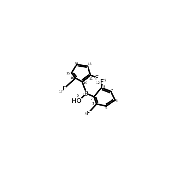 OB(c1c(F)cccc1F)c1c(F)cccc1F